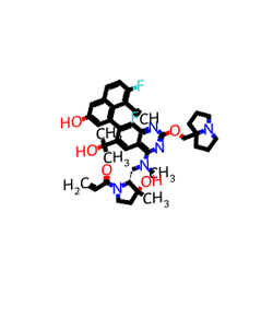 C#Cc1c(F)ccc2cc(O)cc(-c3c(C(C)(C)O)cc4c(N(C)C[C@H]5N(C(=O)C=C)CCC5(C)O)nc(OCC56CCCN5CCC6)nc4c3F)c12